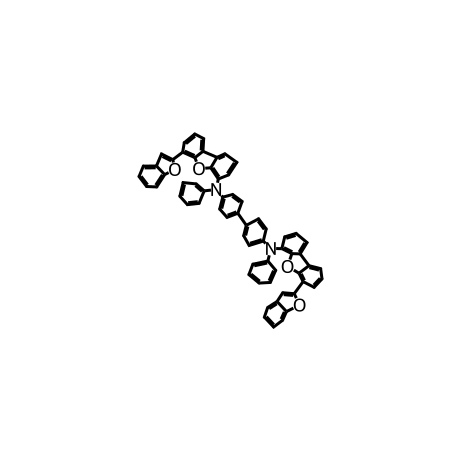 c1ccc(N(c2ccc(-c3ccc(N(c4ccccc4)c4cccc5c4oc4c(-c6cc7ccccc7o6)cccc45)cc3)cc2)c2cccc3c2oc2c(-c4cc5ccccc5o4)cccc23)cc1